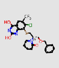 O=c1ccccn1[C@@H](COCc1ccccc1)CSc1c(Cl)c(C(F)(F)F)cc2c(O)nc(O)nc12